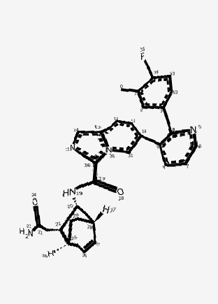 Cc1cc(-c2ncccc2-c2ccc3cnc(C(=O)N[C@H]4[C@H](C(N)=O)[C@@H]5C=C[C@@H]4C5)n3c2)ccc1F